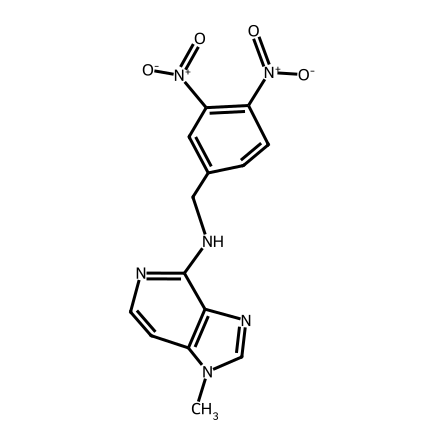 Cn1cnc2c(NCc3ccc([N+](=O)[O-])c([N+](=O)[O-])c3)nccc21